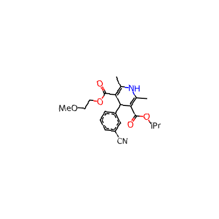 COCCOC(=O)C1=C(C)NC(C)=C(C(=O)OC(C)C)C1c1cccc(C#N)c1